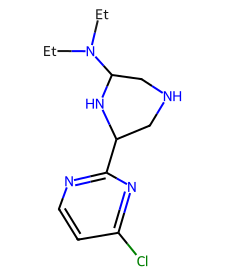 CCN(CC)C1CNCC(c2nccc(Cl)n2)N1